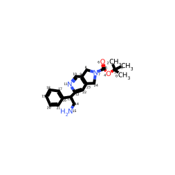 CC(C)(C)OC(=O)N1Cc2cnc(C(CN)c3ccccc3)cc2C1